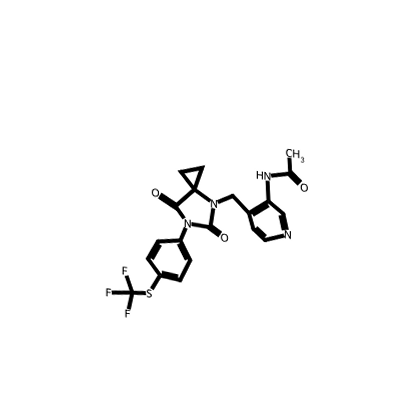 CC(=O)Nc1cnccc1CN1C(=O)N(c2ccc(SC(F)(F)F)cc2)C(=O)C12CC2